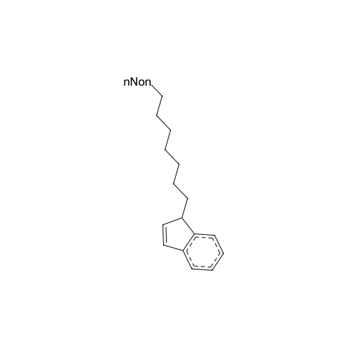 CCCCCCCCCCCCCCCCC1C=Cc2ccccc21